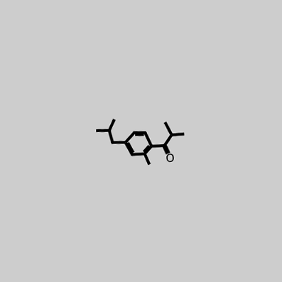 Cc1cc(CC(C)C)ccc1C(=O)C(C)C